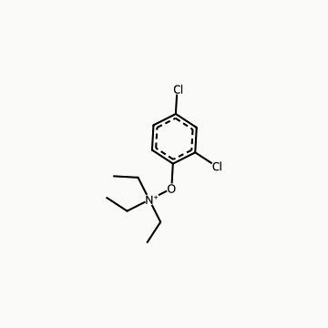 CC[N+](CC)(CC)Oc1ccc(Cl)cc1Cl